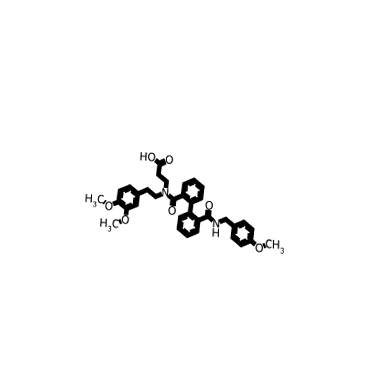 COc1ccc(CNC(=O)c2ccccc2-c2ccccc2C(=O)N(CCC(=O)O)CCc2ccc(OC)c(OC)c2)cc1